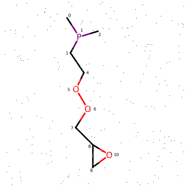 CP(C)CCOOCC1CO1